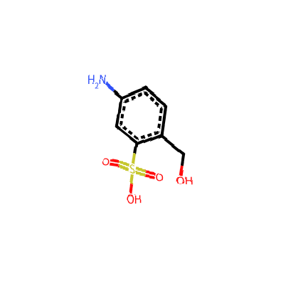 Nc1ccc(CO)c(S(=O)(=O)O)c1